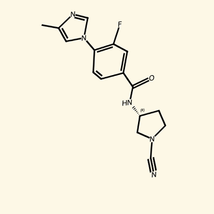 Cc1cn(-c2ccc(C(=O)N[C@@H]3CCN(C#N)C3)cc2F)cn1